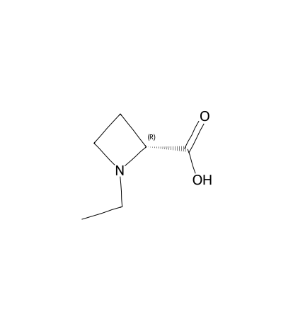 CCN1CC[C@@H]1C(=O)O